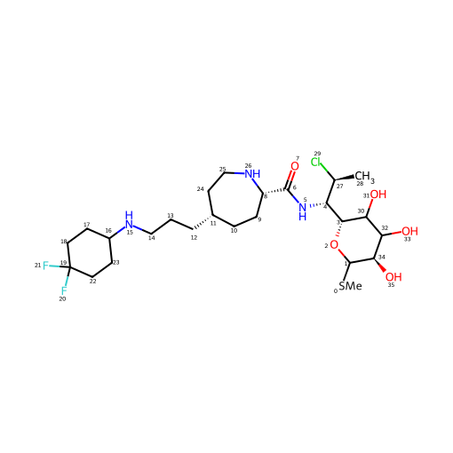 CSC1O[C@H]([C@H](NC(=O)[C@@H]2CC[C@H](CCCNC3CCC(F)(F)CC3)CCN2)[C@H](C)Cl)C(O)C(O)[C@H]1O